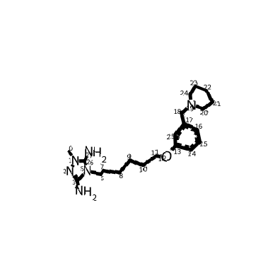 CN1N=C(N)N(CCCCCCOc2cccc(CN3CCCCC3)c2)C1N